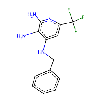 Nc1nc(C(F)(F)F)cc(NCc2ccccc2)c1N